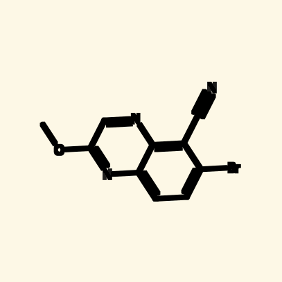 COc1cnc2c(C#N)c(Br)ccc2n1